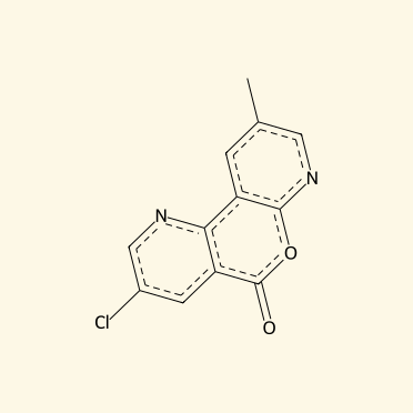 Cc1cnc2oc(=O)c3cc(Cl)cnc3c2c1